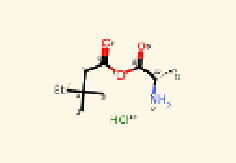 CCC(C)(C)CC(=O)OC(=O)[C@H](C)N.Cl